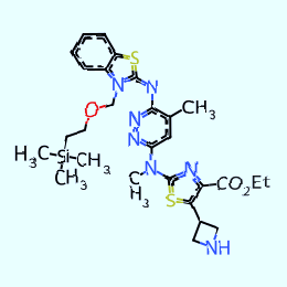 CCOC(=O)c1nc(N(C)c2cc(C)c(N=c3sc4ccccc4n3COCC[Si](C)(C)C)nn2)sc1C1CNC1